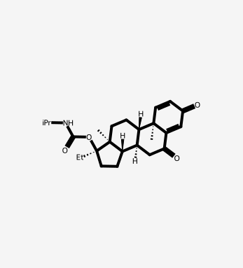 CC[C@@]1(OC(=O)NC(C)C)CC[C@H]2[C@@H]3CC(=O)C4=CC(=O)C=C[C@]4(C)[C@H]3CC[C@@]21C